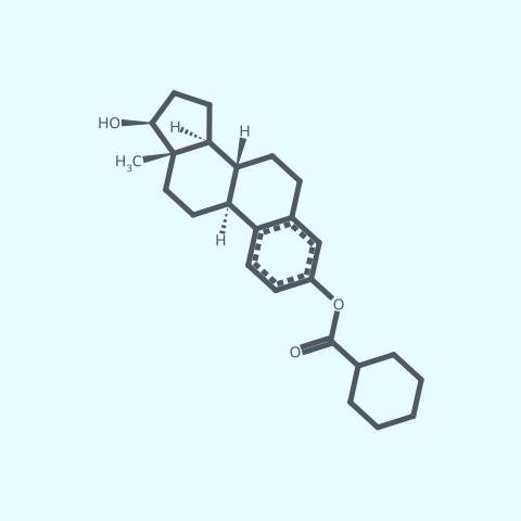 C[C@]12CC[C@@H]3c4ccc(OC(=O)C5CCCCC5)cc4CC[C@H]3[C@@H]1CC[C@@H]2O